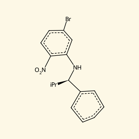 CC(C)[C@@H](Nc1cc(Br)ccc1[N+](=O)[O-])c1ccccc1